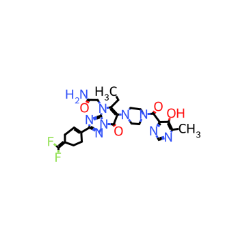 CCc1c(N2CCN(C(=O)c3ncnc(C)c3O)CC2)c(=O)n2nc(C3=CCC(=C(F)F)CC3)nc2n1CC(N)=O